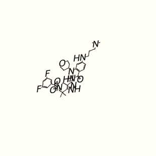 CN(C)CCCNc1ccc(C(=O)Nc2n[nH]c3c2CN(S(=O)(=O)c2cc(F)cc(F)c2)CC3(C)C)c(NC2CCOCC2)c1